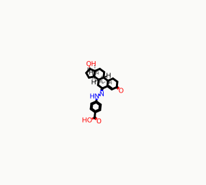 C[C@]12CC[C@H]3[C@@H](CC(=NNc4ccc(C(=O)O)cc4)C4=CC(=O)CC[C@@]43C)[C@@H]1CC[C@@H]2O